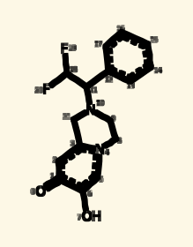 O=c1cc2n(cc1O)CCN(C(c1ccccc1)C(F)F)C2